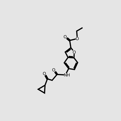 CCOC(=O)c1cc2cc(NC(=O)CC(=O)C3CC3)ccc2o1